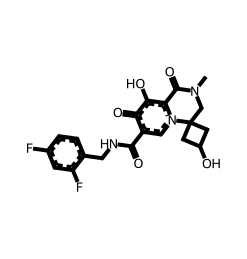 CN1CC2(CC(O)C2)n2cc(C(=O)NCc3ccc(F)cc3F)c(=O)c(O)c2C1=O